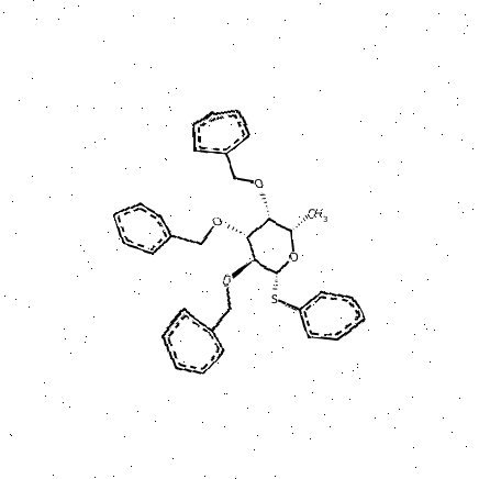 C[C@@H]1O[C@H](Sc2ccccc2)[C@@H](OCc2ccccc2)[C@H](OCc2ccccc2)[C@@H]1OCc1ccccc1